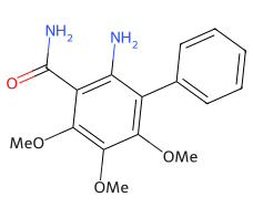 COc1c(OC)c(C(N)=O)c(N)c(-c2ccccc2)c1OC